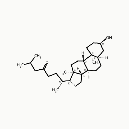 CC(C)CC(=O)CC[C@@H](C)[C@H]1CC[C@H]2[C@@H]3CC[C@@H]4C[C@H](O)CC[C@]4(C)[C@H]3CC[C@]12C